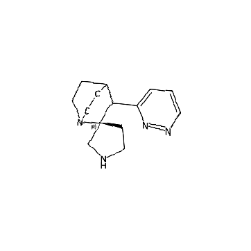 c1cnnc(C2C3CCN(CC3)[C@]23CCNC3)c1